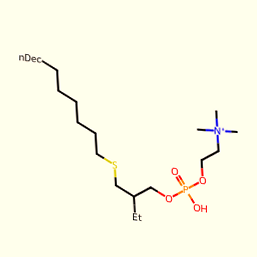 CCCCCCCCCCCCCCCCSCC(CC)COP(=O)(O)OCC[N+](C)(C)C